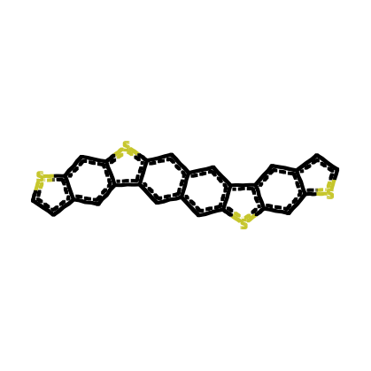 c1cc2cc3c(cc2s1)sc1cc2cc4c(cc2cc13)sc1cc2sccc2cc14